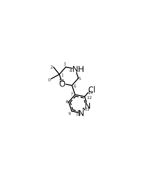 CC1(C)CNCC(c2ccnnc2Cl)O1